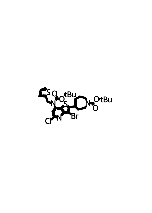 CC(C)(C)OC(=O)N1CCC=C(c2sc3c(N(Cc4cccs4)C(=O)OC(C)(C)C)cc(Cl)nc3c2Br)CC1